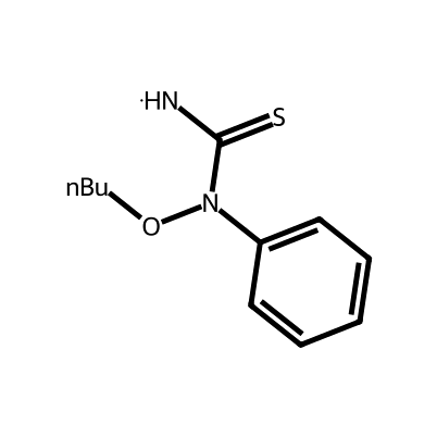 CCCCON(C([NH])=S)c1ccccc1